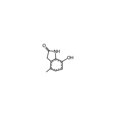 Cc1ccc(O)c2c1CC(=O)N2